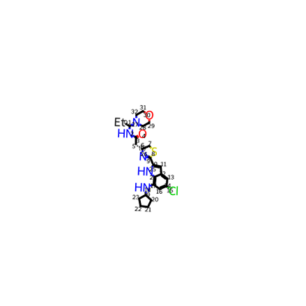 CCC(NC(=O)C[C@@H]1CSC(c2cc3cc(Cl)cc(NC4CCCC4)c3[nH]2)=N1)N1CCOCC1